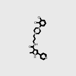 CC1NC(c2ccncc2)=CC1C(=O)NCCCN1CCN(c2cccc(Cl)c2Cl)CC1